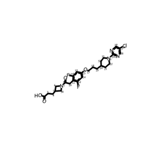 O=C(O)CCC1CN(C(=O)Cc2c(F)cc(OCCCC3CCN(c4ncc(Cl)cn4)CC3)cc2F)C1